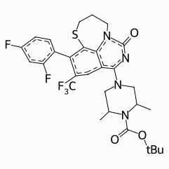 CC1CN(c2nc(=O)n3c4c(c(-c5ccc(F)cc5F)c(C(F)(F)F)cc24)SCCC3)CC(C)N1C(=O)OC(C)(C)C